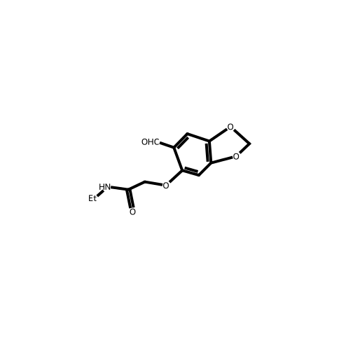 CCNC(=O)COc1cc2c(cc1C=O)OCO2